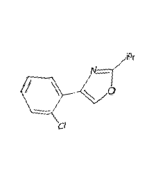 CC(C)c1nc(-c2ccccc2Cl)co1